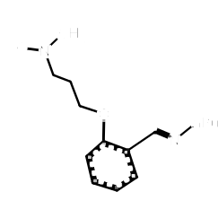 CCCCN=Cc1ccccc1OCCCN(C)C